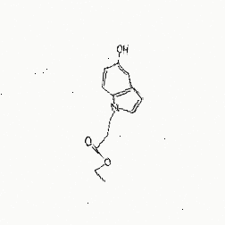 CCOC(=O)CCn1ccc2cc(O)ccc21